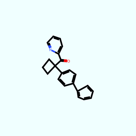 O=C(c1ccccn1)C1(c2ccc(-c3ccccc3)cc2)CCC1